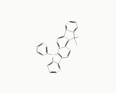 CC1(C)c2ccccc2-c2ccc3c(ccc4c5ccccc5n(-c5ccccc5)c34)c21